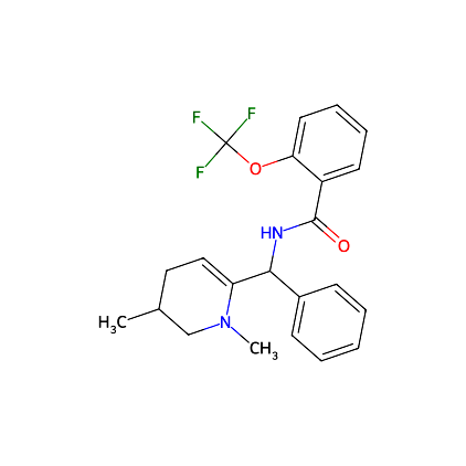 CC1CC=C(C(NC(=O)c2ccccc2OC(F)(F)F)c2ccccc2)N(C)C1